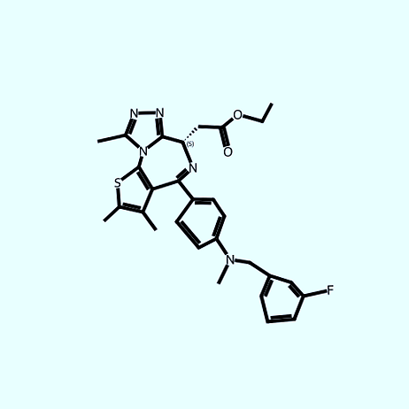 CCOC(=O)C[C@@H]1N=C(c2ccc(N(C)Cc3cccc(F)c3)cc2)c2c(sc(C)c2C)-n2c(C)nnc21